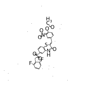 CC(=O)Oc1ccc(C=C2Sc3ccc(S(=O)(=O)Cc4c(F)cccc4F)cc3NC2=O)cc1[N+](=O)[O-]